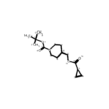 CC(C)(C)OC(=O)N1CCC(COC(=O)C2CC2)CC1